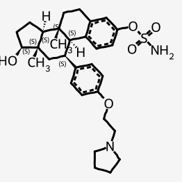 C[C@]12C[C@H](c3ccc(OCCN4CCCC4)cc3)[C@@H]3c4ccc(OS(N)(=O)=O)cc4CC[C@@]3(C)[C@@H]1CC[C@@H]2O